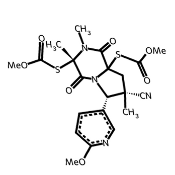 COC(=O)SC12C[C@](C)(C#N)[C@H](c3ccc(OC)nc3)N1C(=O)[C@](C)(SC(=O)OC)N(C)C2=O